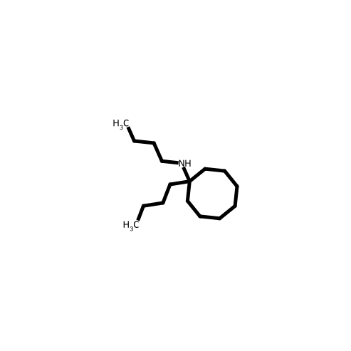 CCCCNC1(CCCC)CCCCCCC1